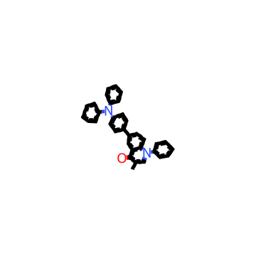 Cc1cn(-c2ccccc2)c2ccc(-c3ccc(N(c4ccccc4)c4ccccc4)cc3)cc2c1=O